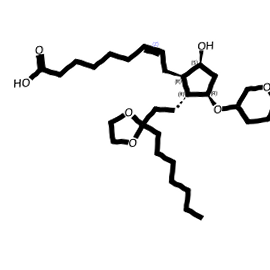 CCCCCCCC1(CC[C@@H]2[C@@H](C/C=C\CCCCCC(=O)O)[C@@H](O)C[C@H]2OC2CCCOC2)OCCO1